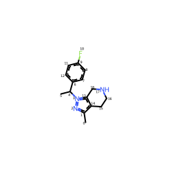 Cc1nn(C(C)c2ccc(F)cc2)c2c1CCNC2